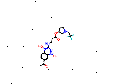 CC(=O)c1ccc2c(c1)[n+](O)nc(NCCC(=O)OC1CCN(CC(F)(F)F)C1)[n+]2O